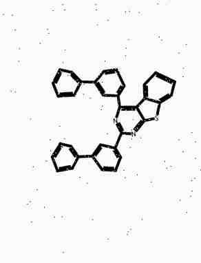 c1ccc(-c2cccc(-c3nc(-c4cccc(-c5ccccc5)c4)c4c(n3)sc3ccccc34)c2)cc1